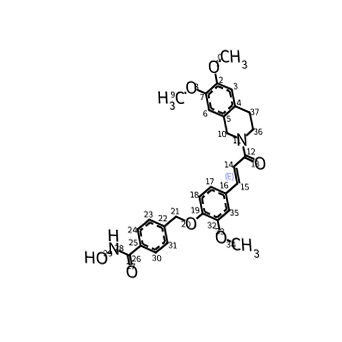 COc1cc2c(cc1OC)CN(C(=O)/C=C/c1ccc(OCc3ccc(C(=O)NO)cc3)c(OC)c1)CC2